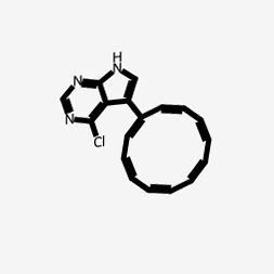 Clc1ncnc2[nH]cc(C3=C/C=C\C=C/C=C\C=C/C=C\3)c12